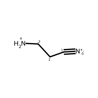 [N+]#CC[CH]N